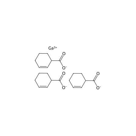 O=C([O-])C1C=CCCC1.O=C([O-])C1C=CCCC1.O=C([O-])C1C=CCCC1.[Ga+3]